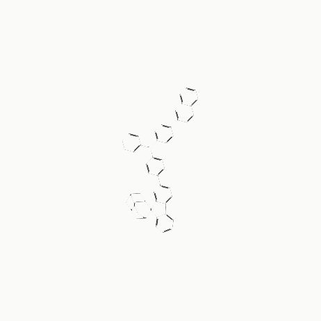 C1=CC(N(c2ccc(-c3ccc4c(c3)C3(c5ccccc5-4)C4CC5CC(C4)CC3C5)cc2)c2ccc(-c3ccc4ccccc4c3)cc2)=CCC1